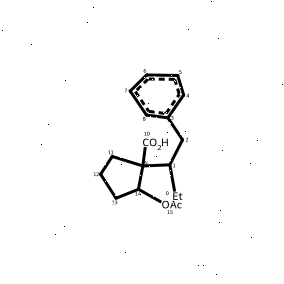 CCC(Cc1ccccc1)C1(C(=O)O)CCCC1OC(C)=O